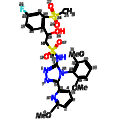 COc1cccc(-c2nnc(NS(=O)(=O)CC(O)c3ccc(F)cc3S(C)(=O)=O)n2-c2c(OC)cccc2OC)n1